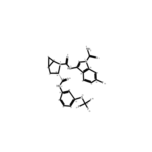 NC(=O)n1cc(NC(=O)N2C3CC3C[C@H]2C(=O)Nc2cccc(OC(F)(F)F)c2)c2ccc(F)cc21